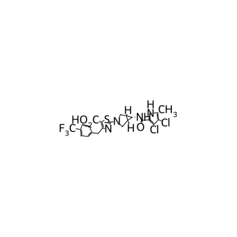 Cc1[nH]c(C(=O)N[C@@H]2[C@@H]3CN(c4nc(Cc5ccc(C(F)(F)F)cc5)c(C(=O)O)s4)C[C@@H]32)c(Cl)c1Cl